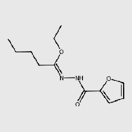 CCCCC(=NNC(=O)c1ccco1)OCC